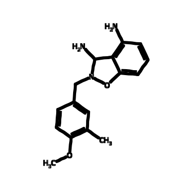 COc1ccc(CN2Oc3cccc(N)c3C2N)cc1C